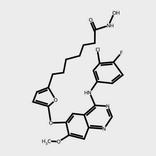 COc1cc2ncnc(Nc3ccc(F)c(Cl)c3)c2cc1Oc1ccc(CCCCCCC(=O)NO)o1